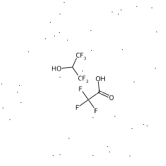 O=C(O)C(F)(F)F.OC(C(F)(F)F)C(F)(F)F